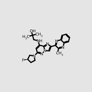 Cc1nc2ccccc2nc1-c1cn2nc(N3CC[C@@H](F)C3)cc(NCC(C)(C)O)c2n1